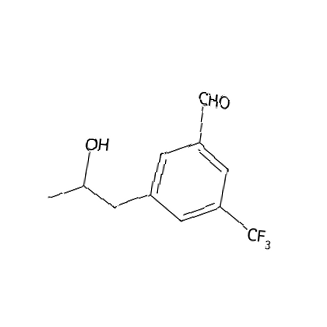 CC(O)Cc1cc(C=O)cc(C(F)(F)F)c1